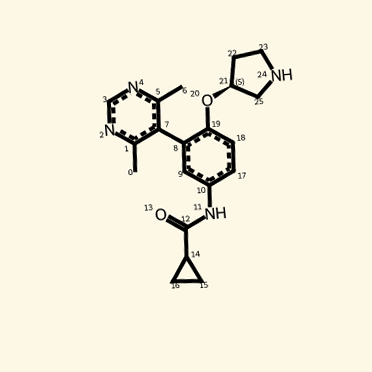 Cc1ncnc(C)c1-c1cc(NC(=O)C2CC2)ccc1O[C@H]1CCNC1